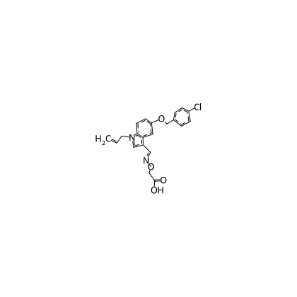 C=CCn1cc(C=NOCC(=O)O)c2cc(OCc3ccc(Cl)cc3)ccc21